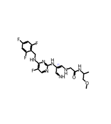 COCC(C)NC(=O)CN/C=C(\C=N)Nc1ncc(F)c(NCc2c(F)cc(F)cc2F)n1